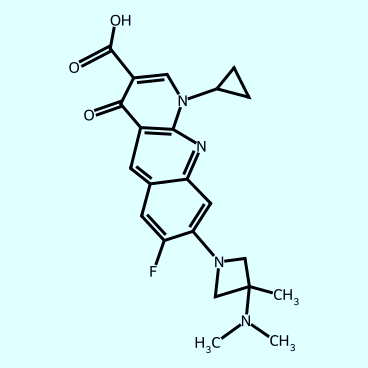 CN(C)C1(C)CN(c2cc3nc4c(cc3cc2F)c(=O)c(C(=O)O)cn4C2CC2)C1